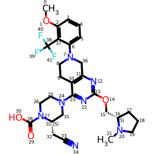 COc1cccc(N2CCc3c(nc(OC[C@@H]4CCCN4C)nc3N3CCN(C(=O)O)[C@@H](CC#N)C3)C2)c1C(F)(F)F